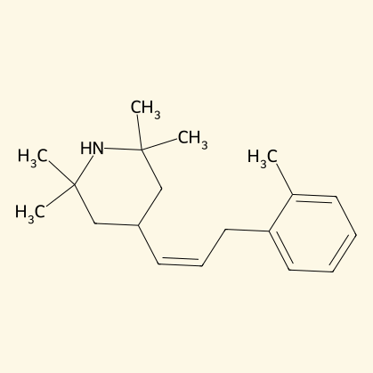 Cc1ccccc1C/C=C\C1CC(C)(C)NC(C)(C)C1